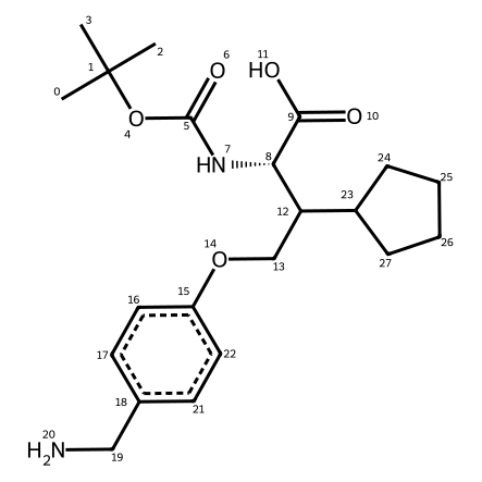 CC(C)(C)OC(=O)N[C@H](C(=O)O)C(COc1ccc(CN)cc1)C1CCCC1